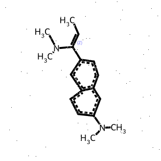 C/C=C(/c1ccc2cc(N(C)C)ccc2c1)N(C)C